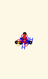 C[C@@H](NC(=O)[C@@H]1CC2(CCCCC2)CN1C(=O)CNC(=O)c1ccc2c(c1)Oc1ccccc1S2)c1cc2cnccc2n1S(=O)(=O)c1ccccc1